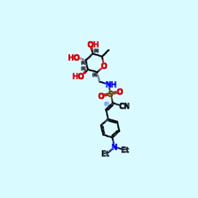 CCN(CC)c1ccc(/C=C(\C#N)S(=O)(=O)NC[C@H]2OC(C)[C@H](O)[C@@H](O)[C@@H]2O)cc1